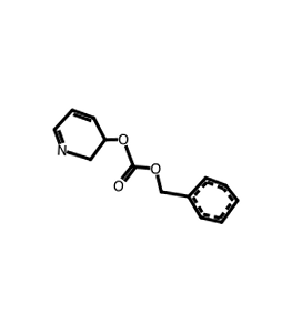 O=C(OCc1ccccc1)OC1C=CC=NC1